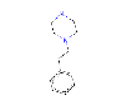 c1ccc(CCN2CC[N]CC2)cc1